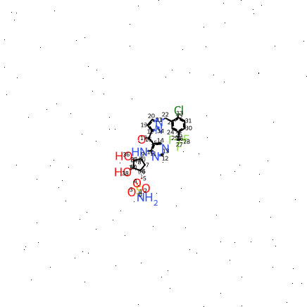 NS(=O)(=O)OC[C@H]1C[C@@H](Nc2ncncc2C(=O)c2ccn(Cc3cc(C(F)(F)F)ccc3Cl)n2)[C@H](O)[C@@H]1O